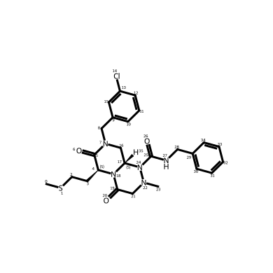 CSCC[C@H]1C(=O)N(Cc2cccc(Cl)c2)C[C@H]2N1C(=O)CN(C)N2C(=O)NCc1ccccc1